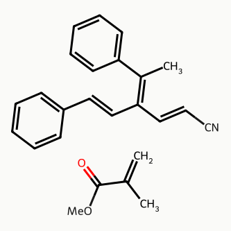 C=C(C)C(=O)OC.CC(=C(C=CC#N)C=Cc1ccccc1)c1ccccc1